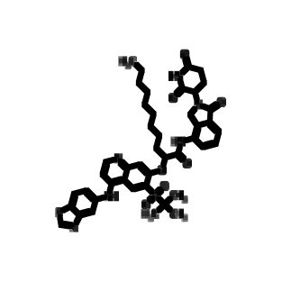 CCCCCCCCCC(Oc1cc2nccc(Nc3ccc4scnc4c3)c2cc1S(=O)(=O)C(C)(C)C)C(=O)Nc1cccc2c1CN(C1CCC(=O)NC1=O)C2=O